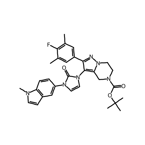 Cc1cc(-c2nn3c(c2-n2ccn(-c4ccc5c(ccn5C)c4)c2=O)CN(C(=O)OC(C)(C)C)CC3)cc(C)c1F